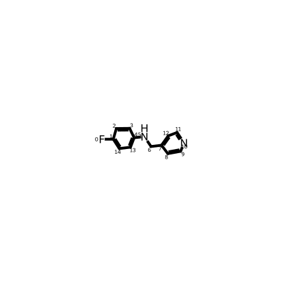 Fc1ccc(NCc2ccncc2)cc1